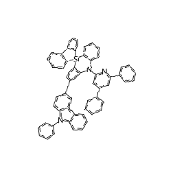 c1ccc(-c2cc(-c3ccccc3)nc(N3c4ccccc4[Si]4(c5ccccc5-c5ccccc54)c4ccc(-c5ccc6c(c5)c5ccccc5n6-c5ccccc5)cc43)c2)cc1